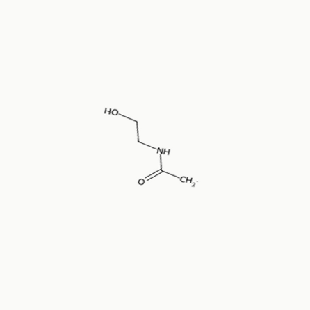 [CH2]C(=O)NCCO